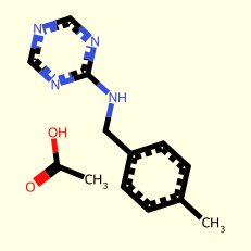 CC(=O)O.Cc1ccc(CNc2ncncn2)cc1